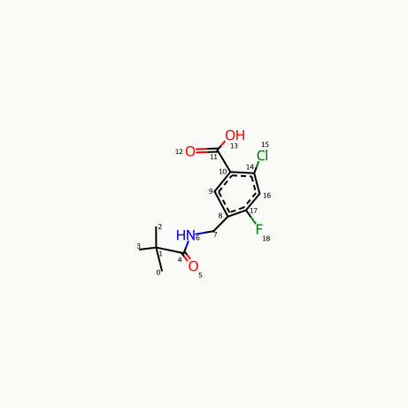 CC(C)(C)C(=O)NCc1cc(C(=O)O)c(Cl)cc1F